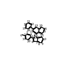 Cc1ccc(-c2cc3ccccc3n2-c2cc(-c3ccccc3)cc3ccccc23)cc1